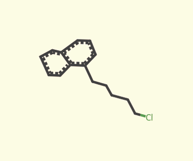 ClCCCCCc1cccc2ccccc12